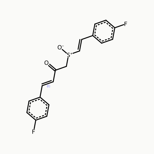 O=C(/C=C/c1ccc(F)cc1)C[S+]([O-])C=Cc1ccc(F)cc1